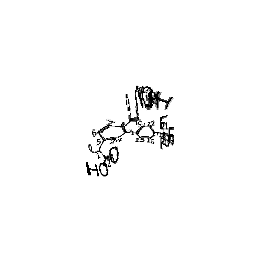 CC(C(=O)O)c1ccc(CC=NO)c(-c2ccc(C(F)(F)F)cc2)c1